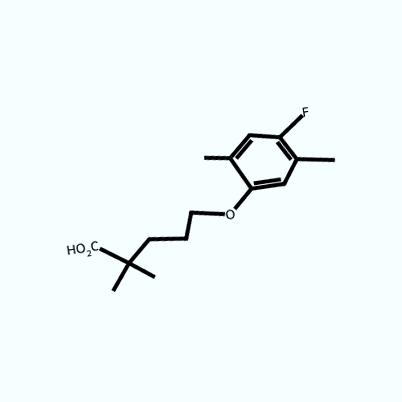 Cc1cc(OCCCC(C)(C)C(=O)O)c(C)cc1F